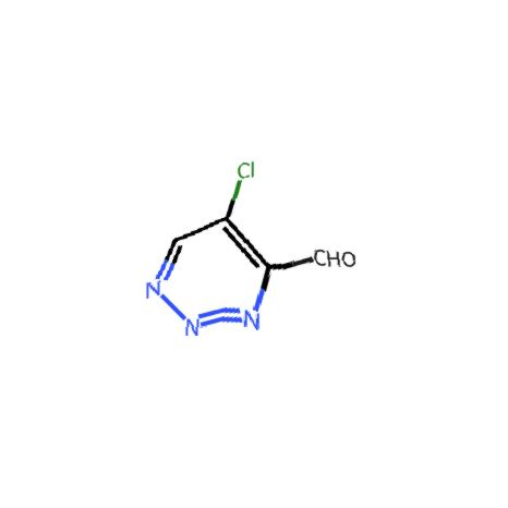 O=Cc1nnncc1Cl